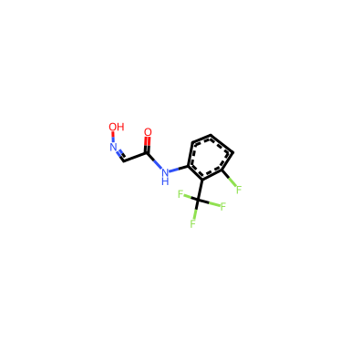 O=C(/C=N\O)Nc1cccc(F)c1C(F)(F)F